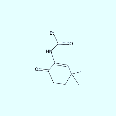 CCC(=O)NC1=CC(C)(C)CCC1=O